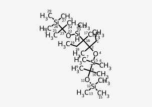 CCC(C)(O[Si](C)(C)C(C)(C)O[Si](C)(C)C)C(C)(CC)[SiH](C)OC(C)(C)[Si](C)(C)C